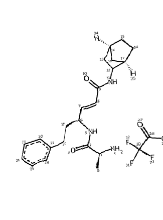 C[C@H](N)C(=O)N[C@H](/C=C/C(=O)NC1C[C@H]2CC[C@@H]1C2)CCc1ccccc1.O=C(O)C(F)(F)F